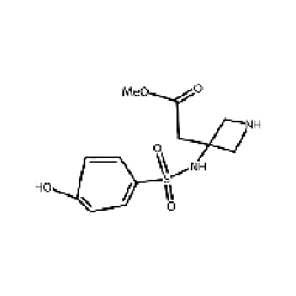 COC(=O)CC1(NS(=O)(=O)c2ccc(O)cc2)CNC1